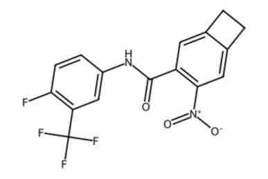 O=C(Nc1ccc(F)c(C(F)(F)F)c1)c1cc2c(cc1[N+](=O)[O-])CC2